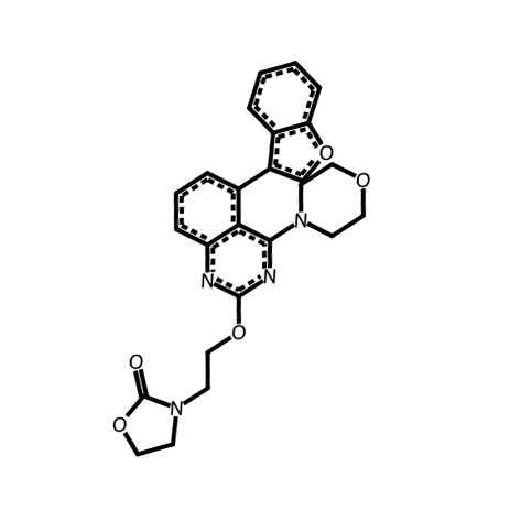 O=C1OCCN1CCOc1nc(N2CCOCC2)c2c(-c3coc4ccccc34)cccc2n1